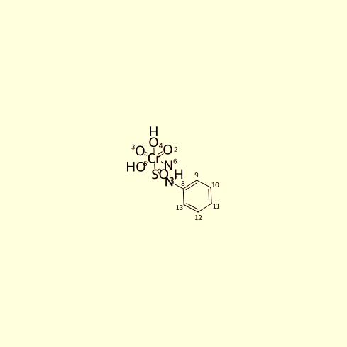 O=[S](=O)(O)[Cr](=[O])(=[O])([OH])([OH])[N]=Nc1ccccc1